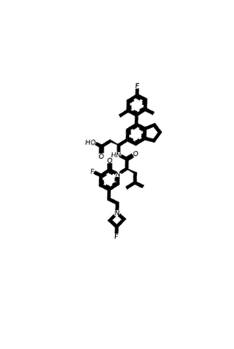 Cc1cc(F)cc(C)c1-c1cc([C@H](CC(=O)O)NC(=O)[C@@H](CC(C)C)n2cc(CCN3CC(F)C3)cc(F)c2=O)cc2c1CCC2